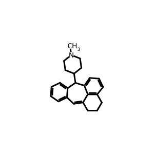 CN1CCC(C2c3ccccc3C=C3CCCc4cccc2c43)CC1